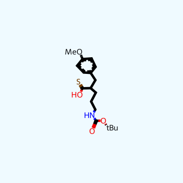 COc1ccc(CC(CCCNC(=O)OC(C)(C)C)C(O)=S)cc1